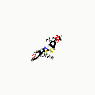 COC1(c2cnc(Sc3ccc(C4(C)OCCO4)cc3)s2)CCOCC1